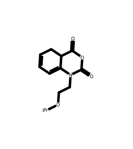 CC(C)OCCN1C(=O)OC(=O)C2CC=CC=C21